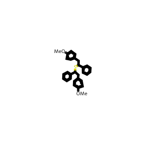 COc1ccc(CC(SC(Cc2ccc(OC)cc2)c2ccccc2)c2ccccc2)cc1